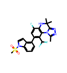 Cc1nnc2n1-c1c(c(F)cc(-c3cccc4c3ccn4S(C)(=O)=O)c1C(F)F)NC2(C)C